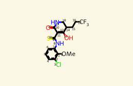 COc1c(Cl)cccc1NC(=S)C1=C(O)C(CCC(F)(F)F)CNC1=O